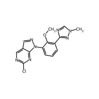 COc1c(-c2ncn(C)n2)cccc1-n1n[c]c2cnc(Cl)nc21